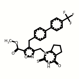 COC(=O)c1onc(Cn2c3c(c(=O)[nH]c2=S)CCC3)c1Cc1ccc(-c2ccc(C(F)(F)F)cc2)cc1